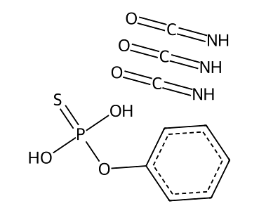 N=C=O.N=C=O.N=C=O.OP(O)(=S)Oc1ccccc1